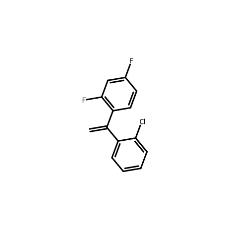 C=C(c1ccc(F)cc1F)c1ccccc1Cl